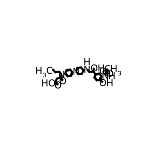 CCCCN(C(=O)CC(=O)O)c1ccc(N2CCC(NCC(O)c3ccc(O)c(NS(C)(=O)=O)c3)CC2)cc1